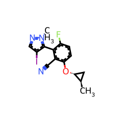 C[C@@H]1C[C@H]1Oc1ccc(F)c(-c2c(I)cnn2C)c1C#N